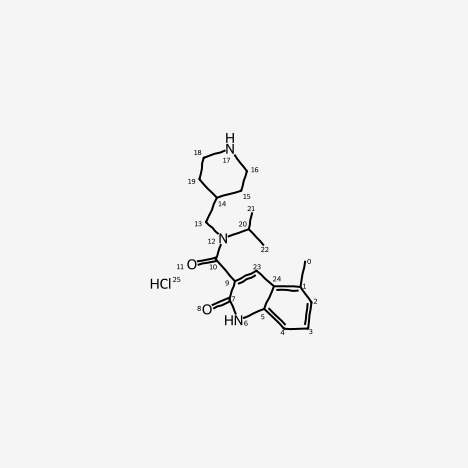 Cc1cccc2[nH]c(=O)c(C(=O)N(CC3CCNCC3)C(C)C)cc12.Cl